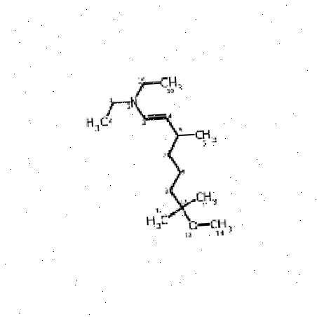 CCN(C=CC(C)CCCC(C)(C)OC)CC